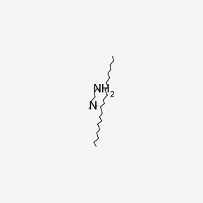 CCCCCCCCCCCCCCCCCCCCCC.CN(C)CCCN